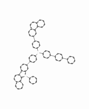 c1ccc(-c2ccc(-c3ccc(N(c4ccc(-c5ccc6ccc7ccccc7c6c5)cc4)c4ccc(-c5ccc6c7ccc8ccccc8c7n(-c7ccccc7)c6c5)cc4)cc3)cc2)cc1